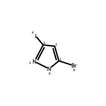 BrC1=CC(I)=N[N]1